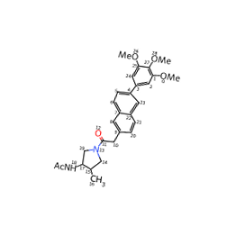 COc1cc(-c2ccc3cc(CC(=O)N4CC(C)C(NC(C)=O)C4)ccc3c2)cc(OC)c1OC